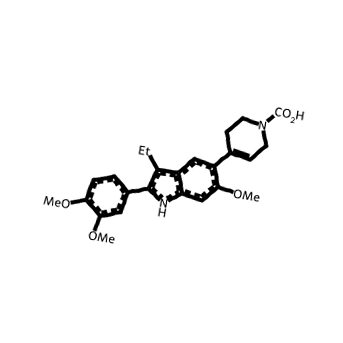 CCc1c(-c2ccc(OC)c(OC)c2)[nH]c2cc(OC)c(C3=CCN(C(=O)O)CC3)cc12